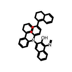 C=Nc1c(O)c(N(c2ccc(C3=C4C=CC=CC4CCC3)cc2)c2ccccc2C2=CC=CCC2)cc2ccccc12